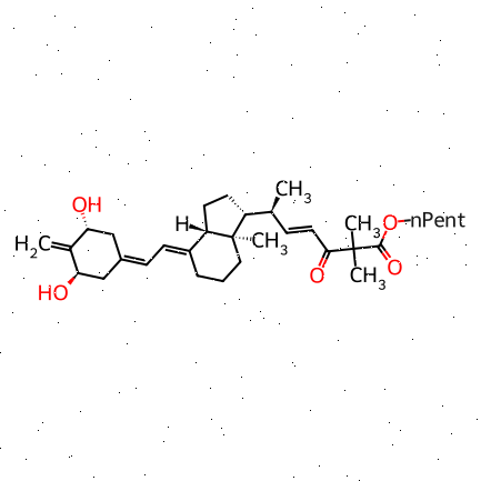 C=C1[C@H](O)CC(=C/C=C2\CCC[C@]3(C)[C@@H]([C@@H](C)/C=C/C(=O)C(C)(C)C(=O)OCCCCC)CC[C@@H]23)C[C@H]1O